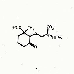 CC(=O)N[C@@H](CSC1C(=O)CCCC1(C)C(=O)O)C(=O)O